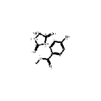 COC(=O)c1ccc(O)cc1.O=C1CNC(=O)N1.[NaH]